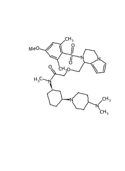 COc1cc(C)c(S(=O)(=O)N2CCn3cccc3C2COCC(=O)N(C)[C@@H]2CCC[C@H](N3CCC(N(C)C)CC3)C2)c(C)c1